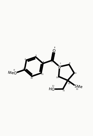 COc1ccc(C(=O)N2CCC(CO)(SC)C2)cc1